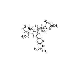 CCN(c1cc(-c2ccc(CN(C)C)nc2)cc(C(=O)NCc2c(C)cc(C)[nH]c2=O)c1C)C1CCOCC1